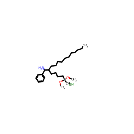 CCCCCCCCCCCC(CCCC[Si](C)(OC)OC)C(N)c1ccccc1.Cl